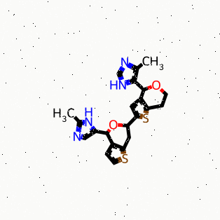 Cc1ncc(C2OC(c3cc4c(s3)CCOC4c3[nH]cnc3C)Cc3sccc32)[nH]1